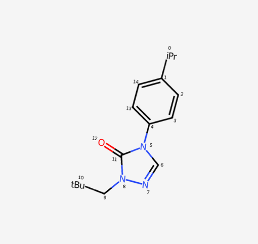 CC(C)c1ccc(-n2cnn(CC(C)(C)C)c2=O)cc1